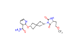 NC(=O)c1cccnc1OC1CC2(C1)CC(N1C(=O)NC(CCOC(F)(F)F)C1=O)C2